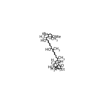 CCC1CC(C)C2(NC1=O)OC(CC(O)C(C)CC/C=C/C=C(\C)C(O)C/C=C/C=C/C(O)C(C)C1OC(C)(OC)CCC1C(C)(C)C)C(C)C(O)C2C